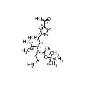 CCCN(C(=O)OC(C)(C)C)[C@H](C[C@@H](O)c1nc(C(=O)O)cs1)C(C)C